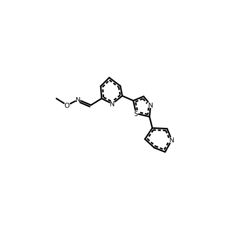 CO/N=C/c1cccc(-c2cnc(-c3cccnc3)s2)n1